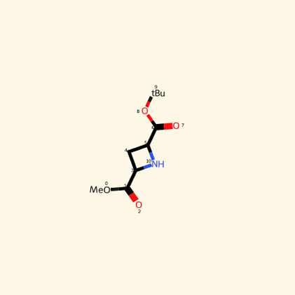 COC(=O)C1CC(C(=O)OC(C)(C)C)N1